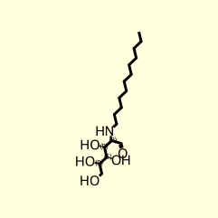 CCCCCCCCCCCCN[C@@H](C=O)[C@@H](O)[C@H](O)[C@H](O)CO